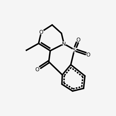 CC1=C2C(=O)c3ccccc3S(=O)(=O)N2CCO1